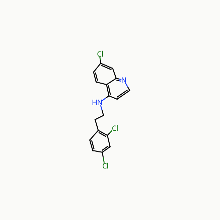 Clc1ccc(CCNc2ccnc3cc(Cl)ccc23)c(Cl)c1